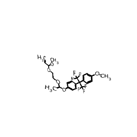 C=CC(OC)OCCOC(C)Oc1ccc(C(c2ccc(OC)cc2)(C(F)(F)F)C(F)(F)F)cc1